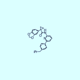 CC(C)Cc1ccc(-c2cccc(NC(=O)C3(c4ccc5c(c4)OCO5)CC3)n2)cc1